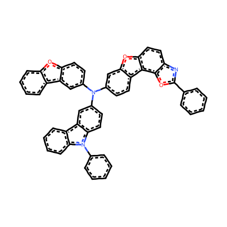 c1ccc(-c2nc3ccc4oc5cc(N(c6ccc7oc8ccccc8c7c6)c6ccc7c(c6)c6ccccc6n7-c6ccccc6)ccc5c4c3o2)cc1